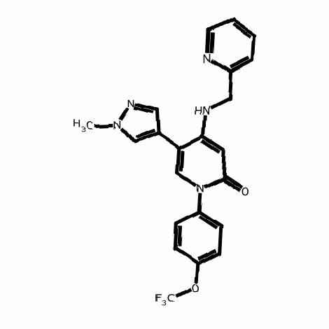 Cn1cc(-c2cn(-c3ccc(OC(F)(F)F)cc3)c(=O)cc2NCc2ccccn2)cn1